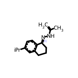 C=C(C)N/N=C1\CCCc2cc(C(C)C)ccc21